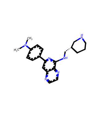 CN(C)c1ccc(-c2cc3nccnc3c(NC[C@H]3CCCNC3)n2)cc1